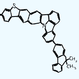 CC1(C)c2ccccc2-c2cc(-c3ccc4c(c3)c3cccc5c6cc7cc8sc9ccccc9c8cc7cc6n4c35)ccc21